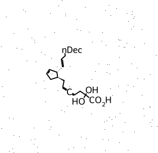 CCCCCCCCCCCC=C[C@H]1C=CC[C@@H]1CC=C=CCC(O)(O)C(=O)O